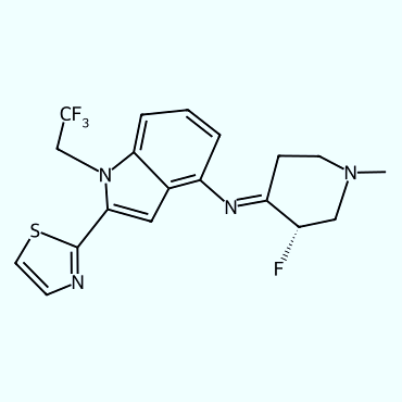 CN1CC/C(=N\c2cccc3c2cc(-c2nccs2)n3CC(F)(F)F)[C@@H](F)C1